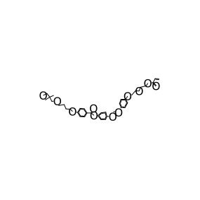 C=CC(=O)OCCOCCOc1ccc(OCOc2ccc(OC(=O)c3ccc(OCCCCOCC4(C)COC4)cc3)cc2)cc1